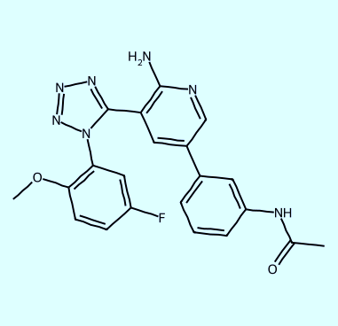 COc1ccc(F)cc1-n1nnnc1-c1cc(-c2cccc(NC(C)=O)c2)cnc1N